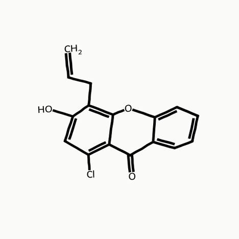 C=CCc1c(O)cc(Cl)c2c(=O)c3ccccc3oc12